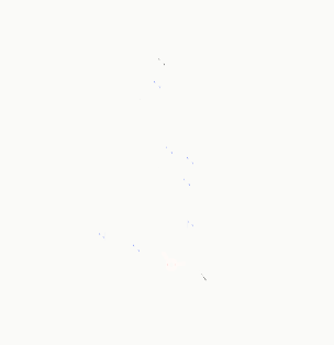 Cc1c(-c2cc(O[C@H](C)c3ccc(F)cn3)n3c(C)cnc3c2)nnn1C1CCN(C#N)CC1